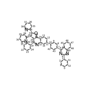 c1ccc(-c2nc(-c3ccc(-c4ccc5c(c4)nc(-c4ccccc4)c4c(-c6ccccn6)c(-c6ccccn6)oc45)cc3)c3ccccc3n2)cc1